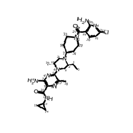 CC[C@H]1CN(c2nc(N)c(C(=O)NC3CC3)nc2C)[C@H](C)CN1C1CCN(C(=O)c2ccc(Cl)nc2N)CC1